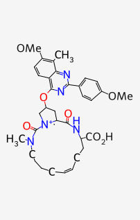 COc1ccc(-c2nc(OC3CC4C(=O)NC(C(=O)O)CCC=CCCCCN(C)C(=O)[N+]4C3)c3ccc(OC)c(C)c3n2)cc1